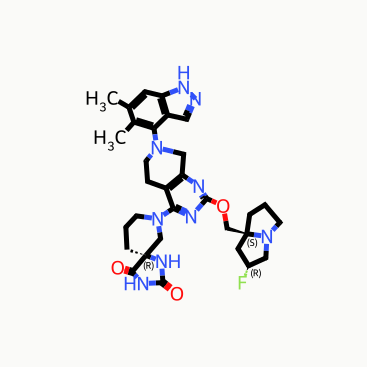 Cc1cc2[nH]ncc2c(N2CCc3c(nc(OC[C@@]45CCCN4C[C@H](F)C5)nc3N3CCC[C@]4(C3)NC(=O)NC4=O)C2)c1C